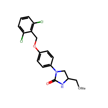 COCC1CN(c2ccc(OCc3c(Cl)cccc3Cl)cc2)C(=O)N1